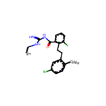 COc1ccc(Br)cc1CCc1c(F)cccc1C(=O)NC(=N)NCC(C)C